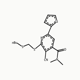 CCCCSCSc1nc(-c2cccs2)cc(C(=O)N(C)C)c1C#N